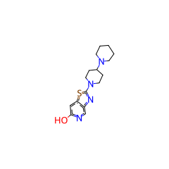 Oc1cc2sc(N3CCC(N4CCCCC4)CC3)nc2cn1